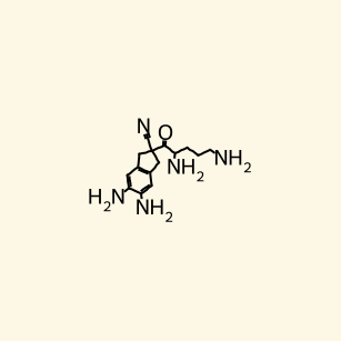 N#CC1(C(=O)C(N)CCCN)Cc2cc(N)c(N)cc2C1